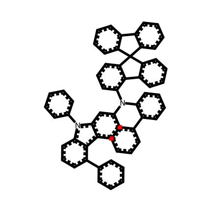 c1ccc(-c2ccccc2N(c2ccc3c4c(-c5ccccc5)cccc4n(-c4ccccc4)c3c2)c2cccc3c2-c2ccccc2C32c3ccccc3-c3ccccc32)cc1